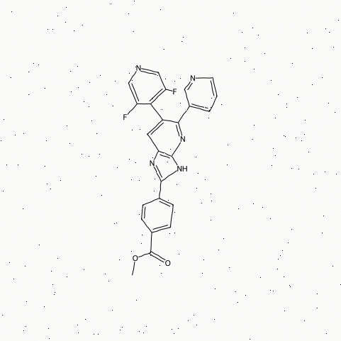 COC(=O)c1ccc(-c2nc3cc(-c4c(F)cncc4F)c(-c4cccnc4)nc3[nH]2)cc1